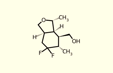 C[C@H]1OC[C@@H]2CC(F)(F)[C@@H](C)[C@H](CO)[C@@H]21